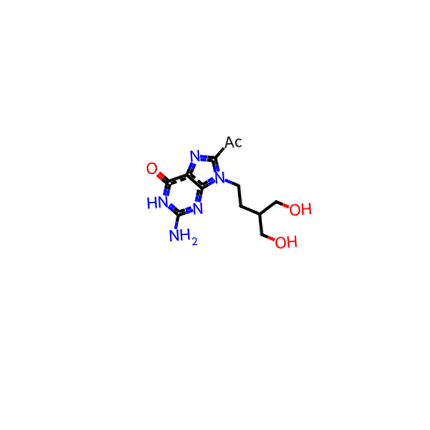 CC(=O)c1nc2c(=O)[nH]c(N)nc2n1CCC(CO)CO